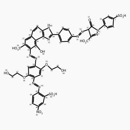 O=C(O)C1=NN(c2ccc(S(=O)(=O)O)cc2)C(=O)C1/N=N/c1ccc(-c2nc3c(ccc4cc(S(=O)(=O)O)c(/N=N/c5cc(OCCO)c(/N=N/c6ccc([N+](=O)[O-])cc6S(=O)(=O)O)cc5OCCO)c(O)c43)[nH]2)cc1